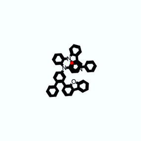 c1ccc(-c2ccc(N(c3ccc(-c4ccccc4)c(-c4cccc5c4oc4ccccc45)c3)c3ccccc3-n3c4ccccc4c4cnccc43)cc2)cc1